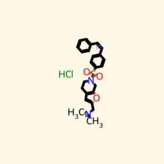 CN(C)Cc1cc2c(o1)CN(S(=O)(=O)c1ccc(/C=C\c3ccccc3)cc1)CC2.Cl